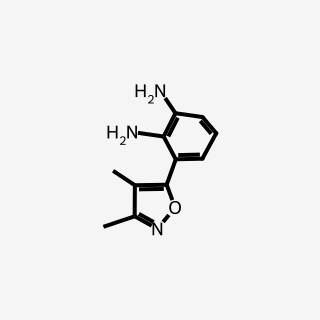 Cc1noc(-c2cccc(N)c2N)c1C